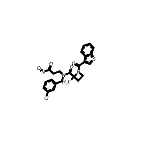 CC1(C(=O)N(CCC(=O)N=O)Cc2cccc(Cl)c2)CCN1C(=O)c1csc2ccccc12